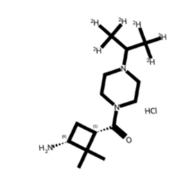 Cl.[2H]C([2H])([2H])C(N1CCN(C(=O)[C@H]2C[C@@H](N)C2(C)C)CC1)C([2H])([2H])[2H]